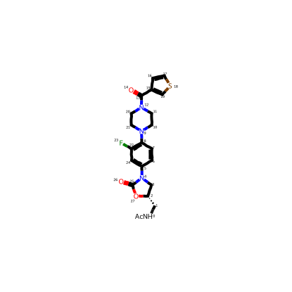 CC(=O)NC[C@H]1CN(c2ccc(N3CCN(C(=O)c4ccsc4)CC3)c(F)c2)C(=O)O1